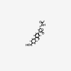 CC(=O)NC[C@H]1CN(c2ccc(N3CCC(CO)CC3)c(F)c2)C(=O)O1